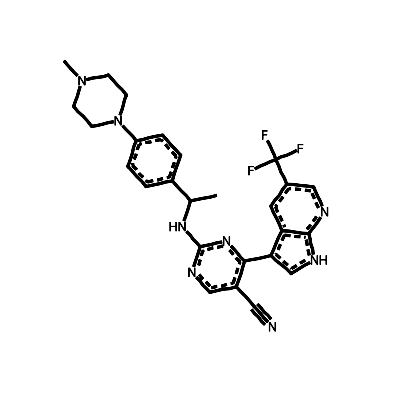 CC(Nc1ncc(C#N)c(-c2c[nH]c3ncc(C(F)(F)F)cc23)n1)c1ccc(N2CCN(C)CC2)cc1